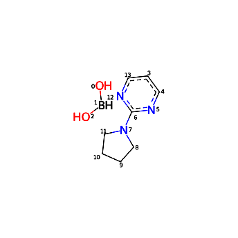 OBO.c1cnc(N2CCCC2)nc1